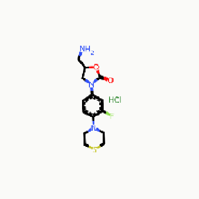 Cl.NCC1CN(c2ccc(N3CCSCC3)c(F)c2)C(=O)O1